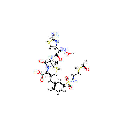 CO/N=C(\C(=O)N[C@@H]1C(=O)N2C(C(=O)O)=C(Cc3cc(S(=O)(=O)NCCSC(C)=O)ccc3C)CS[C@H]12)c1csc(N)n1